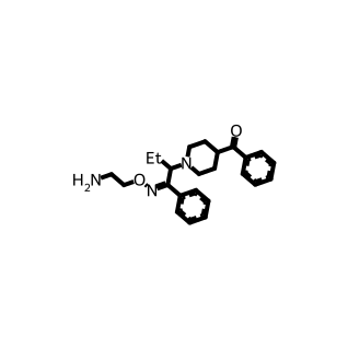 CCC(C(=NOCCN)c1ccccc1)N1CCC(C(=O)c2ccccc2)CC1